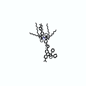 CCCCCCCCC(CCCCCC)CN1C(=O)/C(=C2/C(=O)N(CC(CCCCCC)CCCCCCCC)c3cc(-c4ccc(C(C)(C)C)s4)ccc32)c2ccc(-c3ccc(-c4ccc5c6ccc(C(C)C)cc6c6oc(-c7ccccc7)c(-c7ccccc7)c6c5c4)s3)cc21